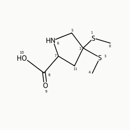 CSC1(SC)CNC(C(=O)O)C1